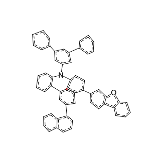 c1ccc(-c2cc(-c3ccccc3)cc(N(c3ccc(-c4ccc5c(c4)oc4ccccc45)cc3)c3ccccc3-c3cccc(-c4cccc5ccccc45)c3)c2)cc1